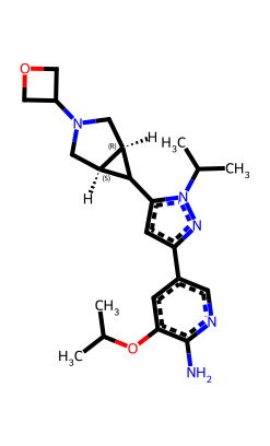 CC(C)Oc1cc(-c2cc(C3[C@H]4CN(C5COC5)C[C@@H]34)n(C(C)C)n2)cnc1N